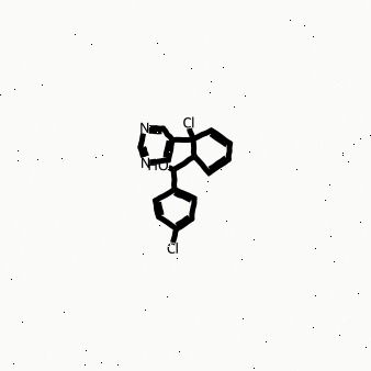 OC(c1ccc(Cl)cc1)C1C=CC=CC1(Cl)c1cncnc1